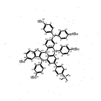 CC(C)(C)c1ccc(N(c2ccc(C(C)(C)C)cc2)c2ccc3c(c2)N(c2ccc(C(C)(C)C)cc2)c2cc(-c4ccc([Si](C)(C)C)cc4)cc4c2B3c2sc3ccc(C(C)(C)C)cc3c2N4c2ccc(C(C)(C)C)cc2)cc1